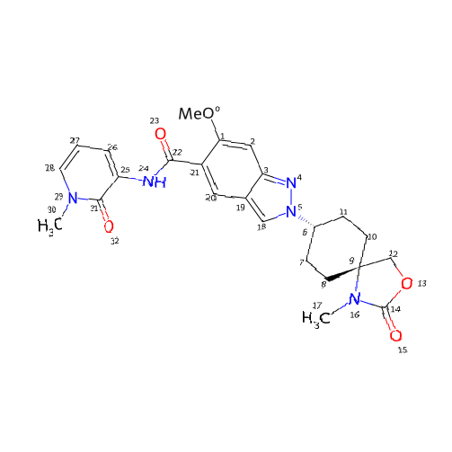 COc1cc2nn([C@H]3CC[C@@]4(CC3)COC(=O)N4C)cc2cc1C(=O)Nc1cccn(C)c1=O